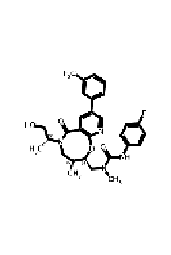 C[C@H](CO)N1C[C@H](C)[C@H](CN(C)C(=O)Nc2ccc(F)cc2)Oc2ncc(-c3cccc(C(F)(F)F)c3)cc2C1=O